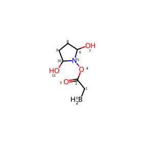 BCC(=O)ON1C(O)CCC1O